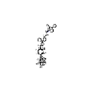 CC1C(=O)O/C1=C\CCOC(=O)OCc1ccc(B2OC(C)(C)C(C)(C)O2)cc1